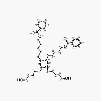 O=C(OCCCCCc1cc(CCCCCO)c(CCCCCO)cc1CCCCCOC(=O)c1ccccc1)c1ccccc1